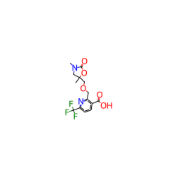 CN1CC(C)(COCc2nc(C(F)(F)F)ccc2C(=O)O)OC1=O